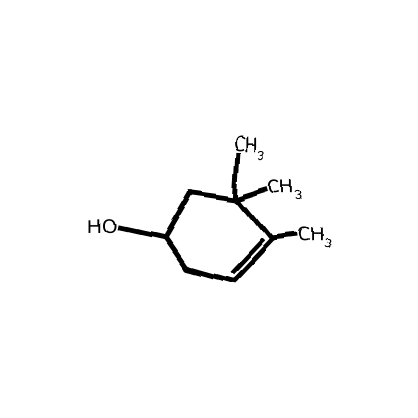 CC1=CCC(O)CC1(C)C